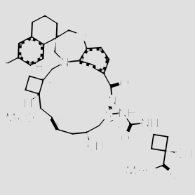 COC(=O)[C@]1(C)C[C@H](NC(=O)NS2(=O)=NC(=O)c3ccc4c(c3)N(C[C@@H]3CC[C@H]3[C@@H](OC)/C=C/C[C@H](C)C2)C[C@@]2(CCCc3cc(Cl)ccc32)CO4)C1